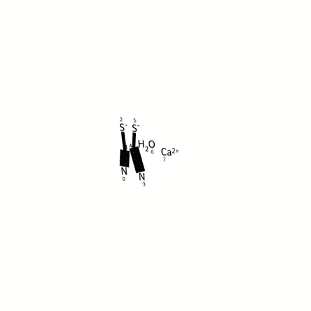 N#C[S-].N#C[S-].O.[Ca+2]